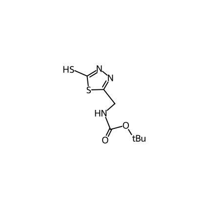 CC(C)(C)OC(=O)NCc1nnc(S)s1